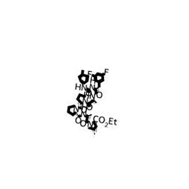 CCOC(=O)[C@@H]1C[C@H](C)CN1C(=O)[C@H](C)NC(=O)[C@@H]1CCCCN1C(=O)[C@@H]1CCCN1C(=O)[C@H](C)NC(=O)[C@H](Cc1cc(F)cc(F)c1)NC(=O)Nc1ccc(C)cc1